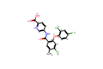 Cc1cc(C(=O)Nc2ccc(C(=O)O)nc2)c(Oc2ccc(F)cc2Cl)cc1Cl